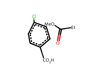 CCC(=O)OC.O=C(O)c1ccc(Cl)cc1